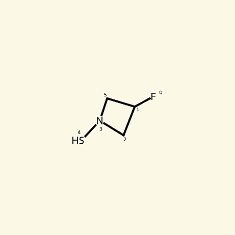 FC1CN(S)C1